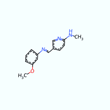 CNc1ccc(C=Nc2cccc(OC)c2)cn1